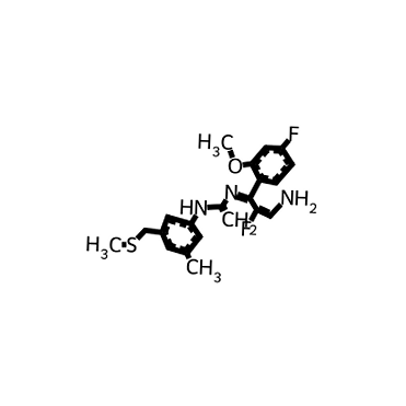 C=C(/N=C(\C(F)=C/N)c1ccc(F)cc1OC)Nc1cc(C)cc(CSC)c1